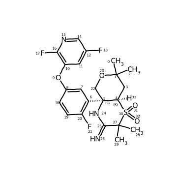 CC1(C)C[C@@H]2[C@](c3cc(Oc4cc(F)cnc4F)ccc3F)(CO1)NC(=N)C(C)(C)S2(=O)=O